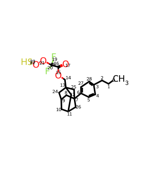 CCCc1ccc(C23CC4CC(CC(COC(=O)C(F)(F)OOS)(C4)C2)C3)cc1